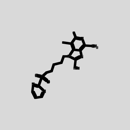 CCCCc1nc2c(N)nc(C)c(C)c2n1CCCCCS(=O)(=O)c1ncccn1